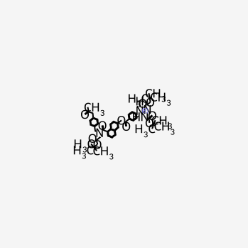 CC(=O)Cc1ccc(CN(CC(=O)OC(C)(C)C)C(=O)c2cccc3cc(OC(=O)c4ccc(N/C(=N\C(=O)OC(C)(C)C)NC(=O)OC(C)(C)C)cc4)ccc23)cc1